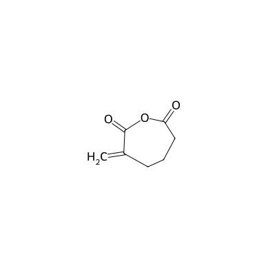 C=C1CCCC(=O)OC1=O